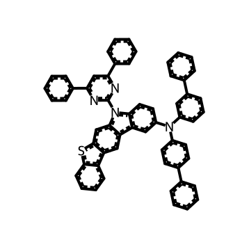 c1ccc(-c2ccc(N(c3cccc(-c4ccccc4)c3)c3ccc4c(c3)c3cc5c(cc3n4-c3nc(-c4ccccc4)cc(-c4ccccc4)n3)sc3ccccc35)cc2)cc1